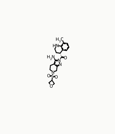 Cc1cccc2c1NCC[C@H]2C(=O)n1nc2c(c1N)CCN(S(=O)(=O)C1COC1)C2